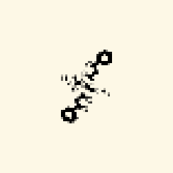 CCC(NC(N)=O)(OC(=O)CC(=O)c1ccccc1)OC(=O)CC(=O)c1ccccc1